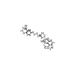 O=C(O)C[C@H](NC(=O)[C@H]1CCCN(CCCCc2ccc3c(n2)NCCC3)C1)c1ccccc1